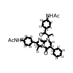 CC(=O)Nc1ccc(C(=O)C(C)n2cc(-c3ccccc3)c(=O)n3c(C)c(-c4ccc(NC(C)=O)cc4)nc23)cc1